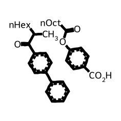 CCCCCCC(C)C(=O)c1ccc(-c2ccccc2)cc1.CCCCCCCCC(=O)Oc1ccc(C(=O)O)cc1